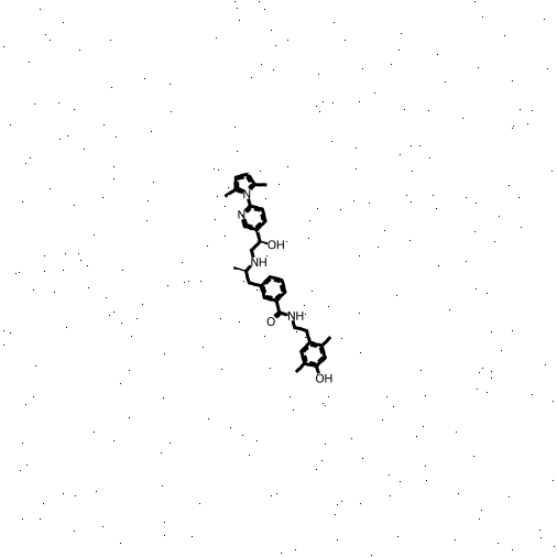 Cc1cc(CCNC(=O)c2cccc(C[C@@H](C)NC[C@H](O)c3ccc(-n4c(C)ccc4C)nc3)c2)c(C)cc1O